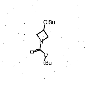 CC(C)COC1CN(C(=O)OC(C)(C)C)C1